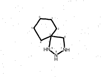 C1CCC2(CC1)CNNN2